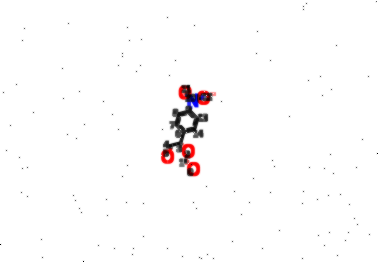 O=COC(C=O)c1ccc([N+](=O)[O-])cc1